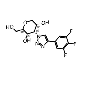 OC[C@H]1O[CH][C@H](O)[C@H](n2cc(-c3cc(F)c(F)c(F)c3)nn2)[C@H]1O